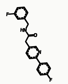 O=C(Cc1ccc(-c2ccc(F)cc2)nc1)NCc1cccc(F)c1